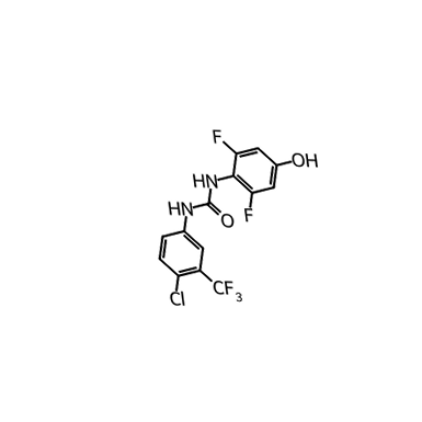 O=C(Nc1ccc(Cl)c(C(F)(F)F)c1)Nc1c(F)cc(O)cc1F